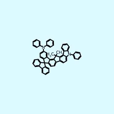 CC1(C)c2c(ccc3c2-c2cc(N(c4ccccc4)c4ccccc4)ccc2C32c3ccccc3-c3ccccc32)-c2ccc3c(c21)c1ccccc1n3-c1ccccc1